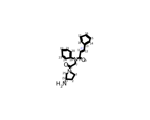 N[C@H]1CCN(C(=O)CN(C(=O)/C=C/c2ccccc2)c2ccccc2)C1